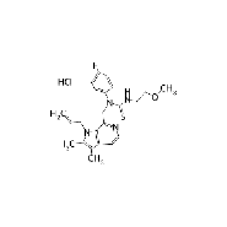 C=CCn1c(C)c(C)c2ccnc(CN(C(=S)NCCOC)c3ccc(F)cc3)c21.Cl